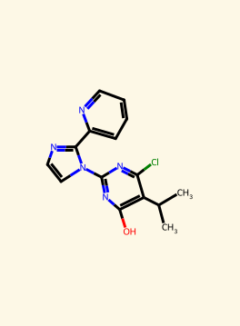 CC(C)c1c(O)nc(-n2ccnc2-c2ccccn2)nc1Cl